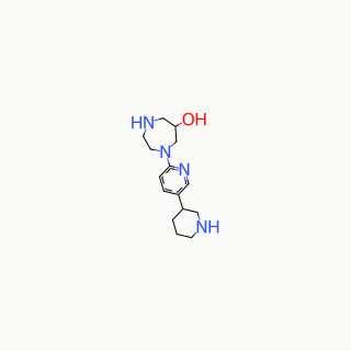 OC1CNCCN(c2ccc(C3CCCNC3)cn2)C1